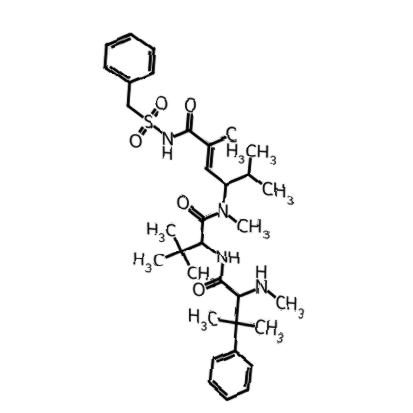 CNC(C(=O)NC(C(=O)N(C)C(C=C(C)C(=O)NS(=O)(=O)Cc1ccccc1)C(C)C)C(C)(C)C)C(C)(C)c1ccccc1